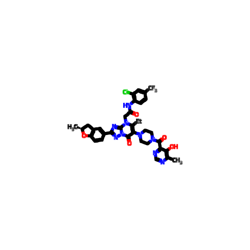 CCc1c(N2CCN(C(=O)c3ncnc(C)c3O)CC2)c(=O)n2nc(-c3ccc4c(c3)C[C@@H](C)O4)nc2n1CC(=O)Nc1ccc(C(F)(F)F)cc1Cl